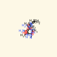 CC(=O)Nc1cc2cc(c1O)-c1cc(ccc1OCCN)C(N(C)C(=O)C(CCN)NC(=O)c1c(C)nc(-c3ccc(C(C)(C)C)cc3)nc1C)C(=O)NC(C)C(=O)NC(C(=O)NCC#N)C2